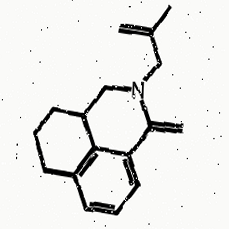 C=C(C)CN1CC2CCCc3cccc(c32)C1=C